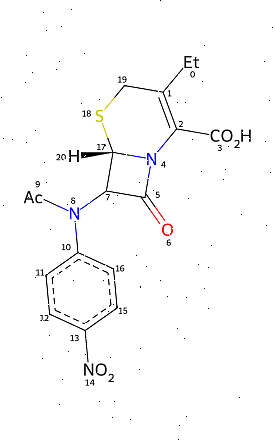 CCC1=C(C(=O)O)N2C(=O)C(N(C(C)=O)c3ccc([N+](=O)[O-])cc3)[C@@H]2SC1